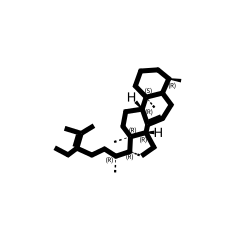 CCC(CC[C@@H](C)[C@H]1CC[C@H]2C3=CCC4[C@H](C)CCC[C@]4(C)[C@H]3CC[C@]12C)=C(C)C